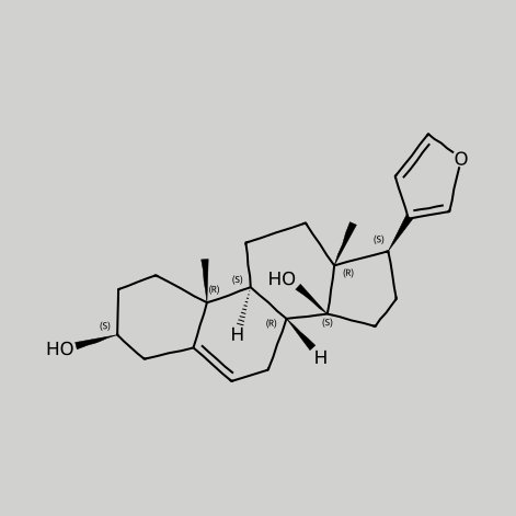 C[C@]12CC[C@H](O)CC1=CC[C@@H]1[C@@H]2CC[C@]2(C)[C@@H](c3ccoc3)CC[C@]12O